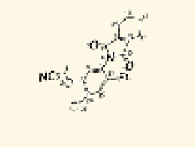 N#CCOc1cc(N2C(=O)C3=C(CCCC3)C2=O)c(F)cc1Cl